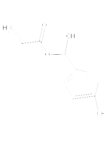 C=CC(=O)OC(C)c1ccc(C(F)(F)F)cc1